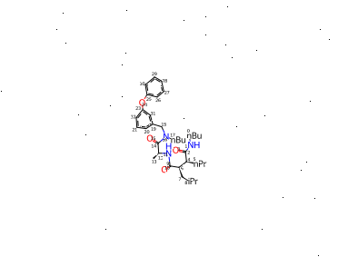 CCCCNC(=O)[C@@H](CCC)[C@@H](CC(C)C)C(=O)N[C@@H](C)C(=O)N(CCCC)Cc1cccc(Oc2ccccc2)c1